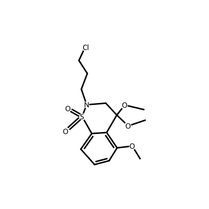 COc1cccc2c1C(OC)(OC)CN(CCCCl)S2(=O)=O